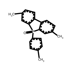 Cc1ccc(P2(=O)c3cc(C)ccc3-c3ccc(C)cc32)cc1